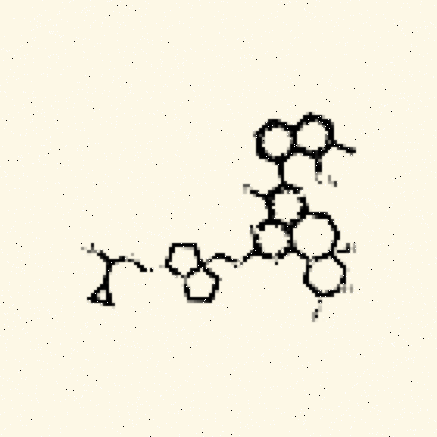 CC[C@@H]1CN2c3nc(OC[C@@]45CCCN4[C@H](COC(C4CC4)C(F)(F)F)CC5)nc4c(F)c(-c5cccc6ccc(F)c(C)c56)nc(c34)CC[C@@H]2CN1